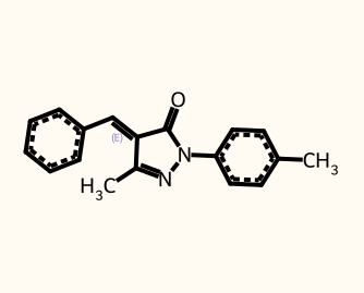 CC1=NN(c2ccc(C)cc2)C(=O)/C1=C/c1ccccc1